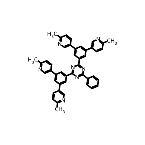 Cc1ccc(-c2cc(-c3ccc(C)nc3)cc(-c3nc(-c4ccccc4)nc(-c4cc(-c5ccc(C)nc5)cc(-c5ccc(C)nc5)c4)n3)c2)cn1